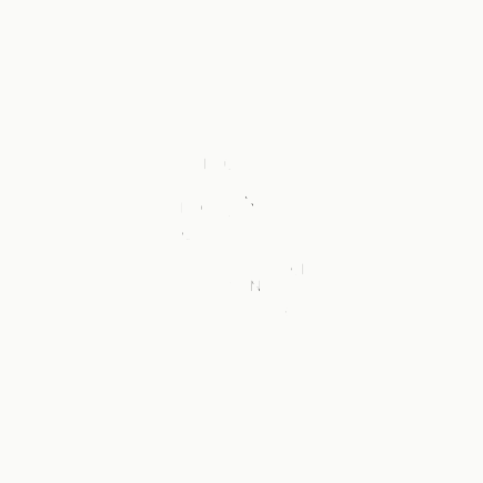 CCN(CC)c1cccc(C)c1-c1c(C)n(CC)c2ccccc12